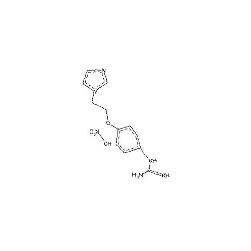 N=C(N)Nc1ccc(OCCn2ccnc2)cc1.O=[N+]([O-])O